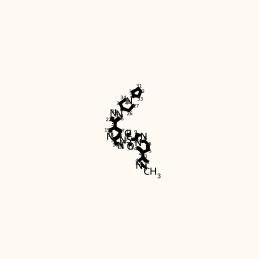 Cn1cc(-c2ccc3ncc(S(=O)(=O)n4ncc5ncc(-c6cnn(C7CCN(C8CCCC8)CC7)c6)cc54)n3c2)cn1